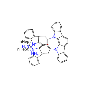 CCCCCCCC(N)n1c2ccccc2c2cc(-n3c4ccccc4c4ccc5c6ccccc6n(-c6ccc7c(c6)c6ccccc6n7C(N)CCCCCCC)c5c43)ccc21